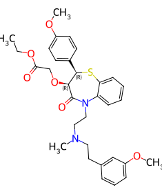 CCOC(=O)CO[C@@H]1C(=O)N(CCN(C)CCc2cccc(OC)c2)c2ccccc2S[C@@H]1c1ccc(OC)cc1